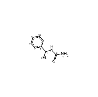 CCC(NC(N)=S)c1ccccc1